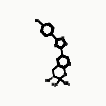 CC1(C)Oc2ncc(-c3nc(-c4ccc(Br)cc4)no3)cc2C[C@H]1O